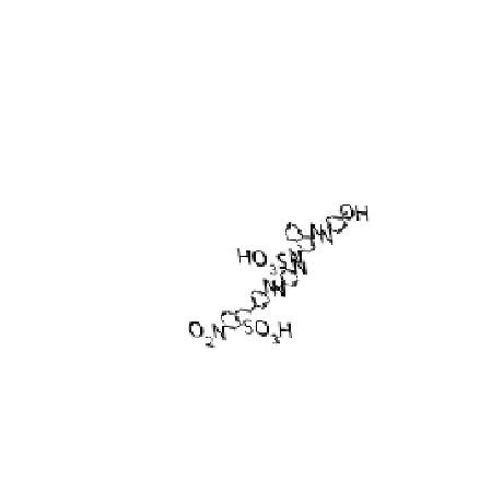 O=[N+]([O-])c1ccc(/C=C/c2ccc(N=Nc3ccc(N=Nc4ccc(N=Nc5ccc(O)cc5)c5ccccc45)c(S(=O)(=O)O)c3)cc2)c(S(=O)(=O)O)c1